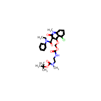 CCN(C(=O)c1c(OCOC(=O)NCCN(C)C(=O)OC(C)(C)C)c2c(Cl)cccc2n(C)c1=O)c1ccccc1